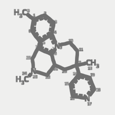 Cc1ccc2c(c1)c1c3n2CCC(C)(c2ccncc2)CC3CN(C)C1